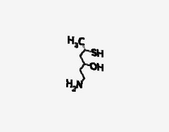 C[C@H](S)CC(O)CCN